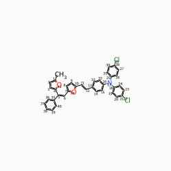 Cc1ccc(C(=Cc2ccc(C=Cc3ccc(N(c4ccc(Cl)cc4)c4ccc(Cl)cc4)cc3)o2)c2ccccc2)o1